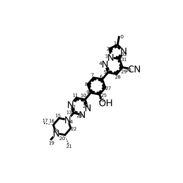 Cc1cn2nc(-c3ccc(-c4cnc(N5C[C@@H](C)N(C)[C@@H](C)C5)nn4)c(O)c3)cc(C#N)c2n1